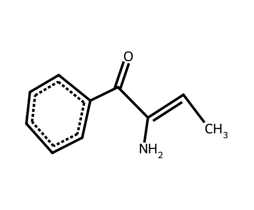 C/C=C(\N)C(=O)c1ccccc1